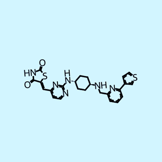 O=C1NC(=O)C(=Cc2ccnc(N[C@H]3CC[C@H](NCc4cccc(-c5ccsc5)n4)CC3)n2)S1